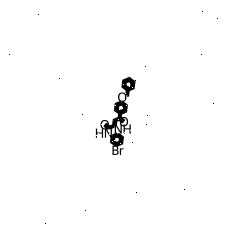 O=C1Nc2cc(Br)ccc2N/C1=C\C(=O)c1ccc(OCc2ccccc2)cc1